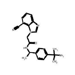 CC(NC(=O)Cn1cnc2cccc(C#N)c21)c1ccc(C(C)(C)N)cc1